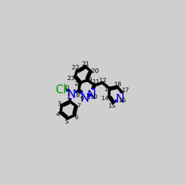 ClN(c1ccccc1)c1nnc(Cc2ccncc2)c2ccccc12